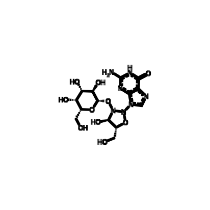 Nc1nc2c(ncn2N2O[C@H](CO)[C@@H](O)N2O[C@@H]2O[C@H](CO)[C@H](O)[C@H](O)[C@H]2O)c(=O)[nH]1